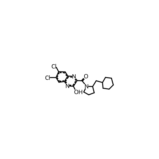 O=C(c1nc2cc(Cl)c(Cl)cc2nc1O)N1CCCC1CC1CCCCC1